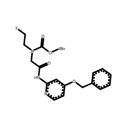 CC(C)(C)OC(=O)N(CCF)CC(=O)Nc1cc(OCc2ccccc2)ccn1